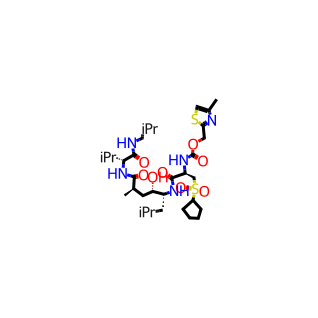 Cc1csc(COC(=O)N[C@@H](CS(=O)(=O)C2CCCC2)C(=O)N[C@H](CC(C)C)[C@@H](O)C[C@@H](C)C(=O)N[C@@H](C(=O)NCC(C)C)C(C)C)n1